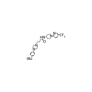 CC(C)(C)c1ccc(N2CCN(CCCC(=O)NC3CCN(c4ccc(C(F)(F)F)cn4)CC3)CC2)cc1